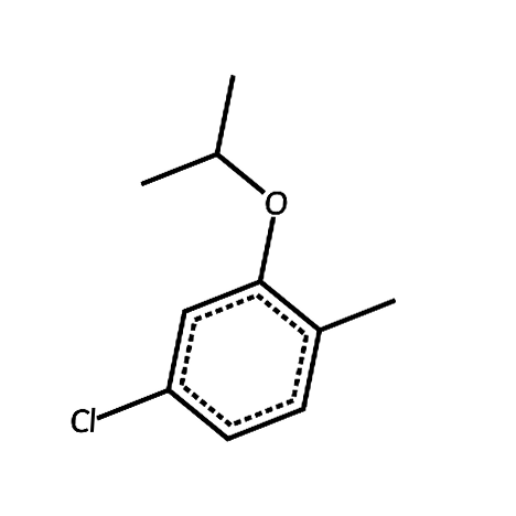 Cc1ccc(Cl)cc1OC(C)C